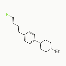 CCC1CCC(c2ccc(CC/C=C/F)cc2)CC1